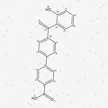 O=C(O)c1ccc(-c2ccc(C(=O)c3ccccc3O)cc2)cc1